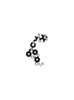 Cc1ncnc(C)c1C(=O)NC(C)CCN1CCC(N(Cc2cccc(C#N)c2)c2ccc(Oc3ccc(C(=O)O)cc3)cc2)CC1